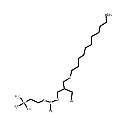 CCCCCCCCCCCCCCCCCCCCOCC(COP(O)OCC[N+](C)(C)C)CC(C)=O